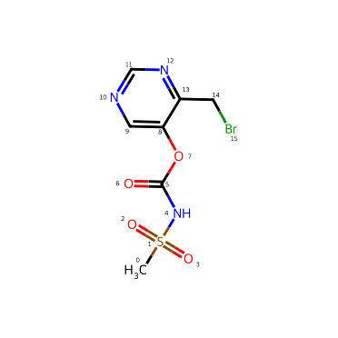 CS(=O)(=O)NC(=O)Oc1cncnc1CBr